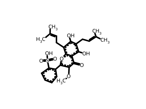 COc1c(-c2ccccc2S(=O)(=O)O)oc2c(CC=C(C)C)c(O)c(CC=C(C)C)c(O)c2c1=O